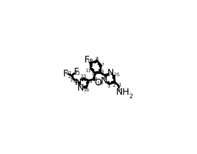 NCc1cnc(-c2ccc(F)cc2C(=O)c2cnn(CC(F)F)c2)nc1